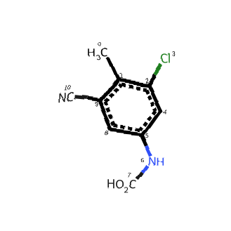 Cc1c(Cl)cc(NC(=O)O)cc1C#N